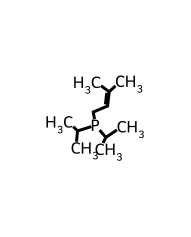 CC(C)=CCP(C(C)C)C(C)C